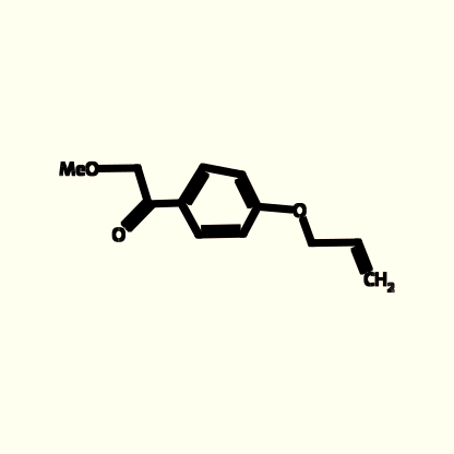 C=CCOc1ccc(C(=O)COC)cc1